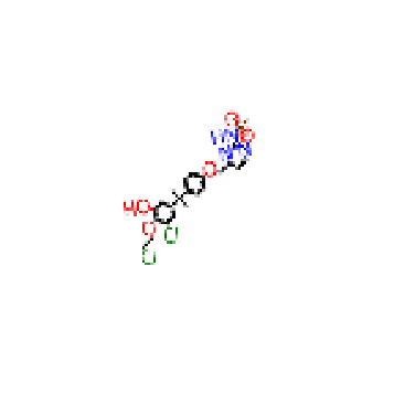 CC(C)(c1ccc(OCc2ccnc(NS(C)(=O)=O)n2)cc1)c1cc(O)c(OCCCl)c(Cl)c1